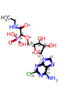 CCNC(=O)C(OC[C@H]1O[C@@H](n2cnc3c(N)nc(Cl)nc32)[C@H](O)[C@@H]1O)P(=O)(O)O